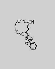 N#CC1CCCCCCCCC/C(=N\OS(=O)(=O)c2ccccc2)CC1